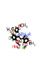 COc1cc(NC(C(=O)c2c[nH]c3cc(OC)c(OC(F)(F)F)cc23)c2ccc(Cl)cc2OCCO)cc([S+](C)[O-])c1